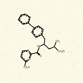 CCOC(=O)C(C)CC(Cc1ccc(-c2ccccc2)cc1)NC(=O)c1nccc(C(=O)O)n1